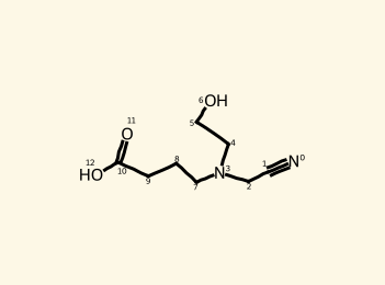 N#CCN(CCO)CCCC(=O)O